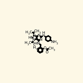 CC(=O)Oc1ccccc1CNc1nc(NC2CCC(N)CC2)nc2c1N(C(C)C)NN2C(C)C